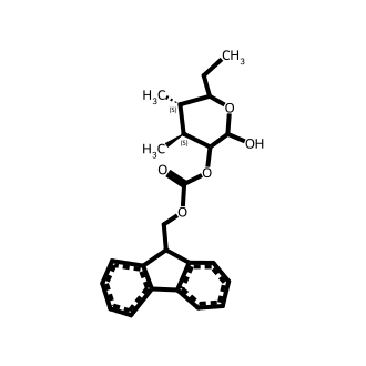 CCC1OC(O)C(OC(=O)OCC2c3ccccc3-c3ccccc32)[C@@H](C)[C@@H]1C